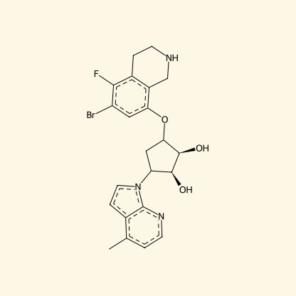 Cc1ccnc2c1ccn2C1CC(Oc2cc(Br)c(F)c3c2CNCC3)[C@@H](O)[C@H]1O